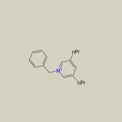 CCCc1cc(CCC)c[n+](Cc2ccccc2)c1